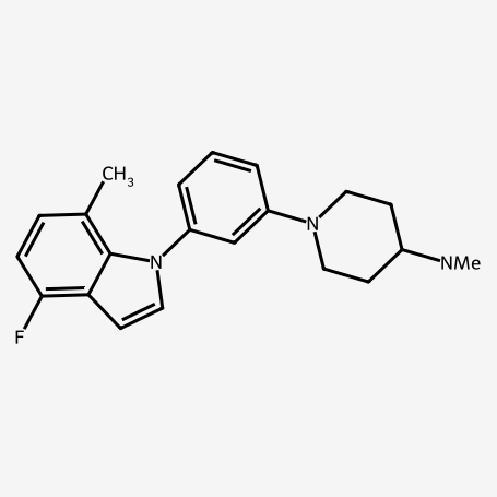 CNC1CCN(c2cccc(-n3ccc4c(F)ccc(C)c43)c2)CC1